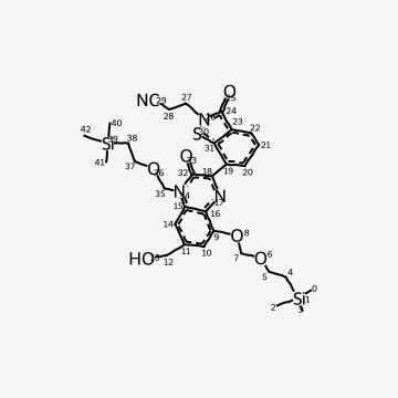 C[Si](C)(C)CCOCOc1cc(CO)cc2c1nc(-c1cccc3c(=O)n(CCC#N)sc13)c(=O)n2COCC[Si](C)(C)C